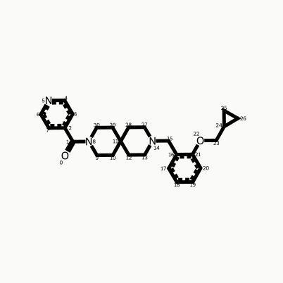 O=C(c1ccncc1)N1CCC2(CCN(Cc3ccccc3OCC3CC3)CC2)CC1